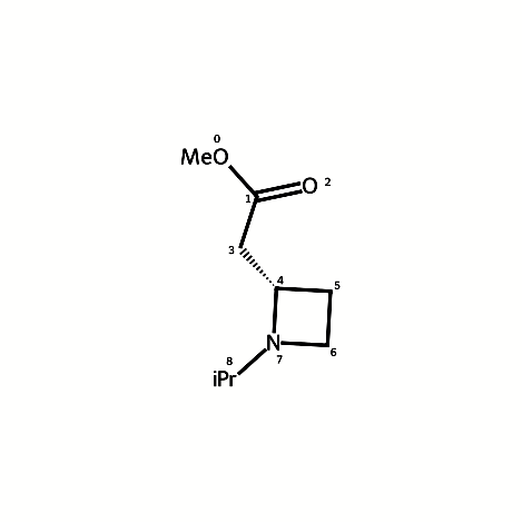 COC(=O)C[C@@H]1CCN1C(C)C